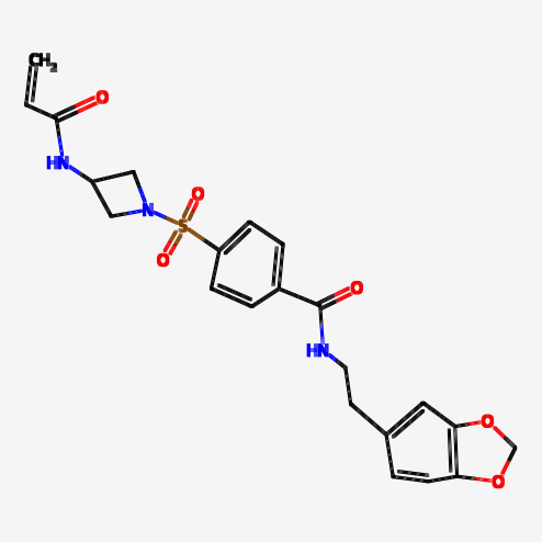 C=CC(=O)NC1CN(S(=O)(=O)c2ccc(C(=O)NCCc3ccc4c(c3)OCO4)cc2)C1